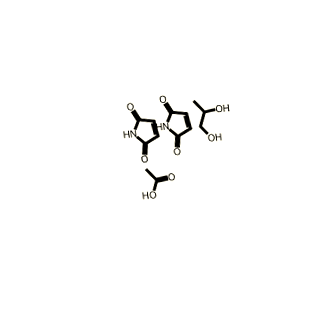 CC(=O)O.CC(O)CO.O=C1C=CC(=O)N1.O=C1C=CC(=O)N1